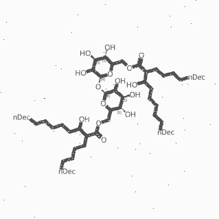 CCCCCCCCCCCCCCCC(O)C(CCCCCCCCCCCCCC)C(=O)OCC1O[C@H](O[C@H]2OC(COC(=O)C(CCCCCCCCCCCCCC)C(O)CCCCCCCCCCCCCCC)[C@@H](O)[C@H](O)C2O)C(O)[C@@H](O)[C@@H]1O